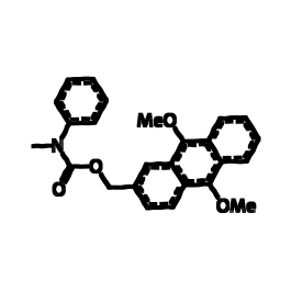 COc1c2ccccc2c(OC)c2cc(COC(=O)N(C)c3ccccc3)ccc12